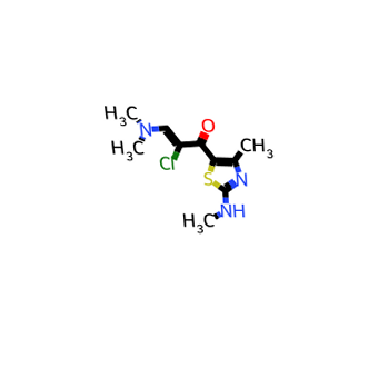 CNc1nc(C)c(C(=O)C(Cl)=CN(C)C)s1